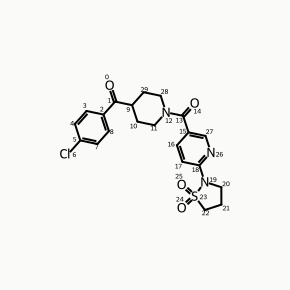 O=C(c1ccc(Cl)cc1)C1CCN(C(=O)c2ccc(N3CCCS3(=O)=O)nc2)CC1